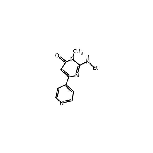 CCNc1nc(-c2ccncc2)cc(=O)n1C